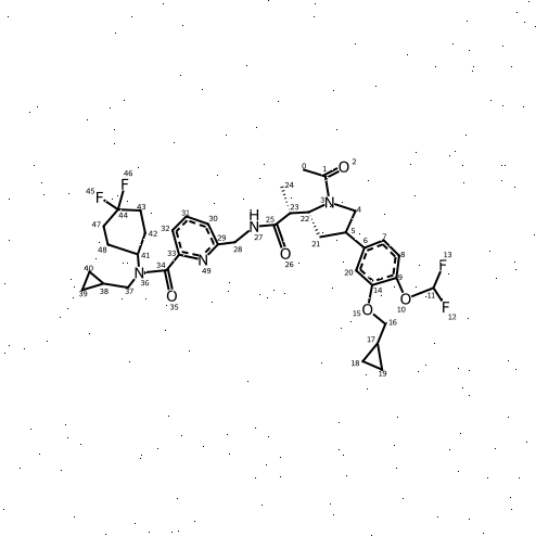 CC(=O)N1CC(c2ccc(OC(F)F)c(OCC3CC3)c2)C[C@@H]1[C@@H](C)C(=O)NCc1cccc(C(=O)N(CC2CC2)C2CCC(F)(F)CC2)n1